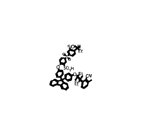 CCC(C)(C)c1ccc(S(=O)(=O)c2ccc(Oc3ccc(C4(c5ccc(OC(C)(CC)C(C)(CC)c6cccc(C)c6C#N)cc5)c5ccccc5-c5ccccc54)cc3)c(S(=O)(=O)O)c2)cc1S(=O)(=O)O